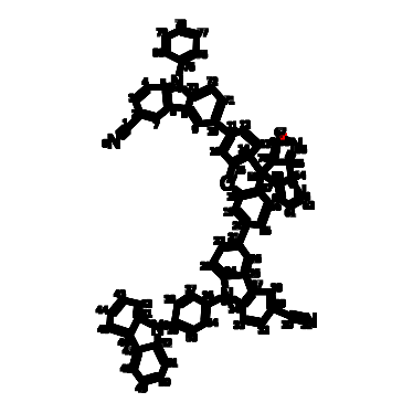 N#Cc1ccc2c(c1)c1cc(-c3ccc4c(c3)Oc3cc(-c5ccc6c(c5)c5cc(C#N)ccc5n6-c5ccc(-n6c7ccccc7c7ccccc76)cc5)ccc3C43c4cccnc4-c4ncccc43)ccc1n2-c1ccccc1